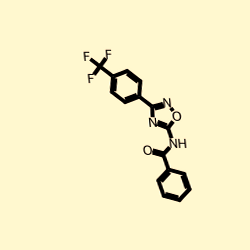 O=C(Nc1nc(-c2ccc(C(F)(F)F)cc2)no1)c1ccccc1